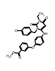 CCn1c(=O)cc(Nc2ccc(Oc3cccc(C(=O)OC)c3)cc2)n(Cc2ccc(Cl)cc2)c1=O